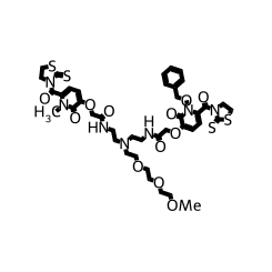 COCCOCCOCCN(CCNC(=O)COc1ccc(C(=O)N2CCSC2=S)n(C)c1=O)CCNC(=O)COc1ccc(C(=O)N2CCSC2=S)n(OCc2ccccc2)c1=O